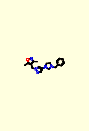 Cc1noc(C)c1Cn1cc(N2CCN(Cc3ccccc3)C2)cn1